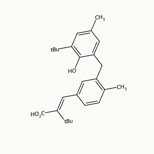 Cc1cc(Cc2cc(C=C(C(=O)O)C(C)(C)C)ccc2C)c(O)c(C(C)(C)C)c1